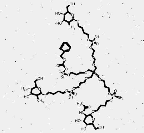 CC(=O)NC1[C@H](OCCCCOP(=O)(S)OCCCOCC(COCCCOP(=O)(S)OCCCCO[C@@H]2OC(CO)[C@@H](C)[C@H](O)C2C)(COCCCOP(=O)(S)OCCCCO[C@@H]2OC(CO)[C@H](O)[C@H](O)C2C)COCCCOP(=O)(S)OC(=O)OCc2ccccc2)OC(CO)[C@H](O)[C@@H]1O